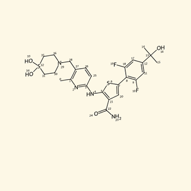 Cc1nc(Nc2sc(-c3c(F)cc(C(C)(C)O)cc3F)cc2C(N)=O)ccc1CN1CCS(O)(O)CC1